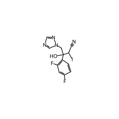 N#CC(I)C(O)(Cn1cncn1)c1ccc(F)cc1F